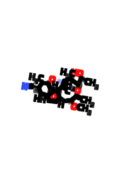 C=C1O[C@H]([C@@H](C)O)[C@H](C)/C=C(\C)[C@]23O[C@@H]4[C@H](C=C[C@@H]2C[C@@H]1OC)[C@H]3C(=O)C(C)[C@H]4C#N